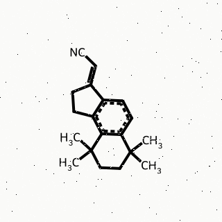 CC1(C)CCC(C)(C)c2c1ccc1c2CCC1=CC#N